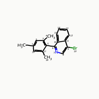 Cc1cc(C)c(-c2ncc(Br)c3ccccc23)c(C)c1